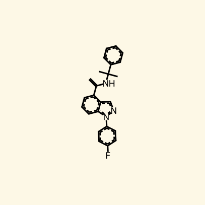 C=C(NC(C)(C)c1ccccc1)c1cccc2c1cnn2-c1ccc(F)cc1